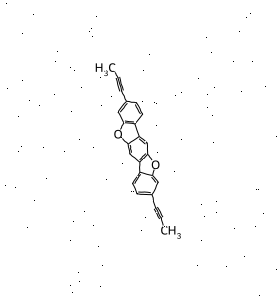 CC#Cc1ccc2c(c1)oc1cc3c(cc12)oc1cc(C#CC)ccc13